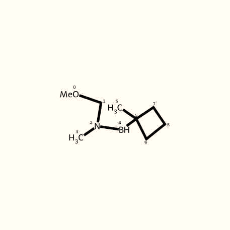 COCN(C)BC1(C)CCC1